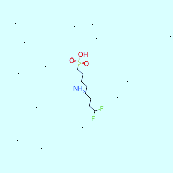 N.O=S(=O)(O)CCCCCCCC(F)F